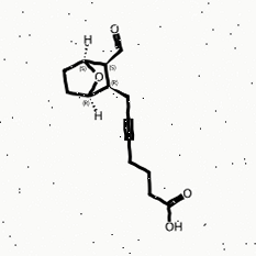 O=C[C@H]1[C@@H](CC#CCCCC(=O)O)[C@H]2CC[C@@H]1O2